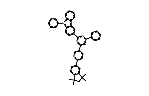 CC1(C)CC(C)(C)c2cc(-c3ccc(-c4nc(-c5ccccc5)nc(-c5ccc6c(c5)c5ccccc5n6-c5ccccc5)n4)cn3)ccc21